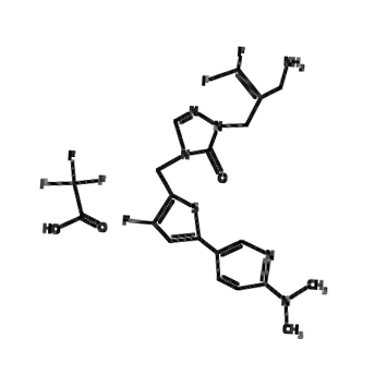 CN(C)c1ccc(-c2cc(F)c(Cn3cnn(CC(CN)=C(F)F)c3=O)s2)cn1.O=C(O)C(F)(F)F